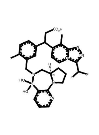 Cc1ccc(C(CC(=O)O)c2ccn3c(C(F)F)nnc3c2C)cc1CN1C[C@H]2CCCN2c2ncccc2S1(O)O